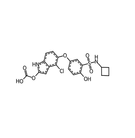 O=C(O)Oc1cc2c(Cl)c(Oc3ccc(O)c(S(=O)(=O)NC4CCC4)c3)ccc2[nH]1